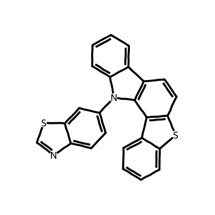 c1ccc2c(c1)sc1ccc3c4ccccc4n(-c4ccc5ncsc5c4)c3c12